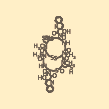 CSCC1C(=O)SCC(NC(=O)c2nc3ccccc3cc2O)C(=O)NCC(=O)N(C)C2CSSCC(C(=O)N1C)N(C)C(=O)CNC(=O)C(NC(=O)c1nc3ccccc3cc1O)CSC(=O)C(CCS)N(C)C2=O